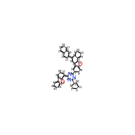 c1ccc(-c2nc(-c3ccc4oc5c6ccccc6c(-c6ccc7ccccc7c6)cc5c4c3)nc(-c3cccc4c3oc3ccccc34)n2)cc1